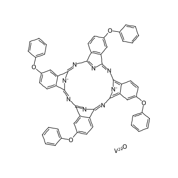 [O]=[V+2].c1ccc(Oc2ccc3c(c2)-c2nc-3nc3[n-]c(nc4nc(nc5[n-]c(n2)c2ccc(Oc6ccccc6)cc52)-c2ccc(Oc5ccccc5)cc2-4)c2ccc(Oc4ccccc4)cc32)cc1